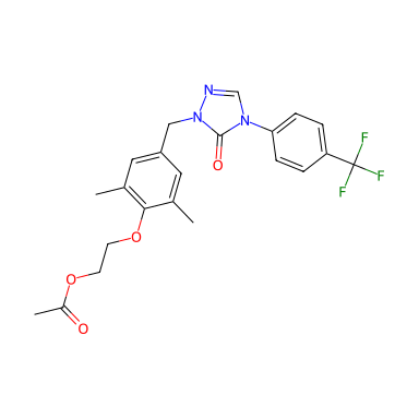 CC(=O)OCCOc1c(C)cc(Cn2ncn(-c3ccc(C(F)(F)F)cc3)c2=O)cc1C